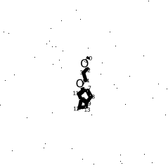 COCCCOc1ccc2c(c1)CC2